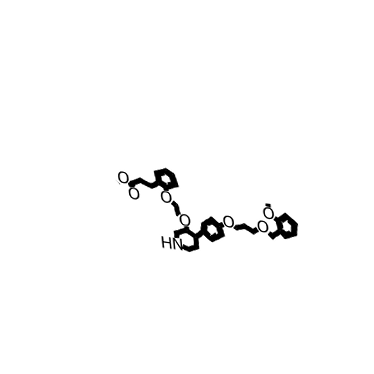 COC(=O)CCc1ccccc1OCCOC1CNCCC1c1ccc(OCCCOCc2ccccc2OC)cc1